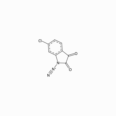 N#[N+]N1C(=O)C(=O)c2ccc(Cl)cc21